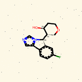 O[C@H]1CCOC[C@@H]1[C@@H]1c2cc(F)ccc2-c2cncn21